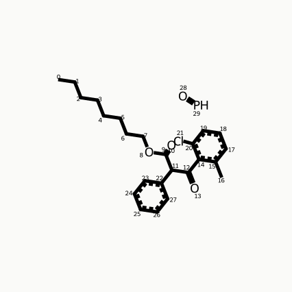 CCCCCCCCOC(=O)C(C(=O)c1c(C)cccc1Cl)c1ccccc1.O=P